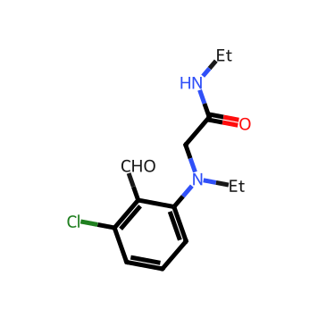 CCNC(=O)CN(CC)c1cccc(Cl)c1C=O